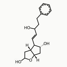 OC(/C=C/C1[C@H](O)C[C@@H]2OC(O)C[C@H]12)CCc1ccccc1